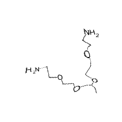 CC(OCCOCCN)OCCOCCN